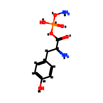 NOP(=O)(O)OC(=O)[C@@H](N)Cc1ccc(O)cc1